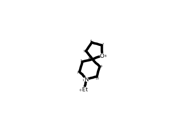 CCN1CCC2(CCCO2)CC1